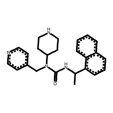 CC(NC(=O)N(Cc1ccncc1)C1CCNCC1)c1cccc2ccccc12